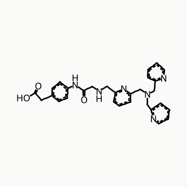 O=C(O)Cc1ccc(NC(=O)CNCc2cccc(CN(Cc3ccccn3)Cc3ccccn3)n2)cc1